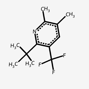 Cc1cc(C(F)(F)F)c(C(C)(C)C)nc1C